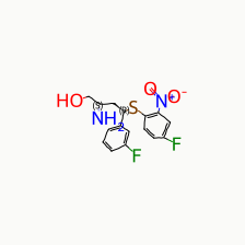 N[C@H](CO)C[C@@H](Sc1ccc(F)cc1[N+](=O)[O-])c1cccc(F)c1